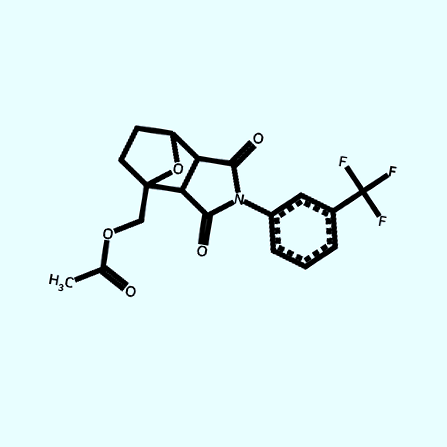 CC(=O)OCC12CCC(O1)C1C(=O)N(c3cccc(C(F)(F)F)c3)C(=O)C12